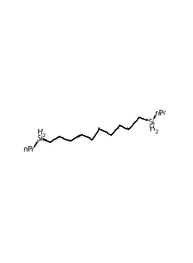 CCC[SiH2]CCCCCCCCCC[SiH2]CCC